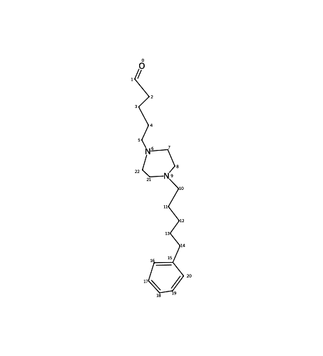 O=CCCCCN1CCN(CCCCCc2ccccc2)CC1